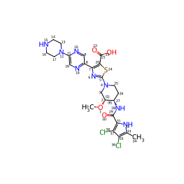 CO[C@H]1CN(c2nc(-c3cnc(N4CCNCC4)cn3)c(C(=O)O)s2)CC[C@H]1NC(=O)c1[nH]c(C)c(Cl)c1Cl